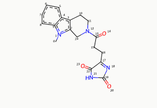 Cn1c2c(c3ccccc31)CCN(C(=O)CCC1=NC(=O)NC1=O)C2